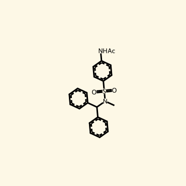 CC(=O)Nc1ccc(S(=O)(=O)N(C)C(c2ccccc2)c2ccccc2)cc1